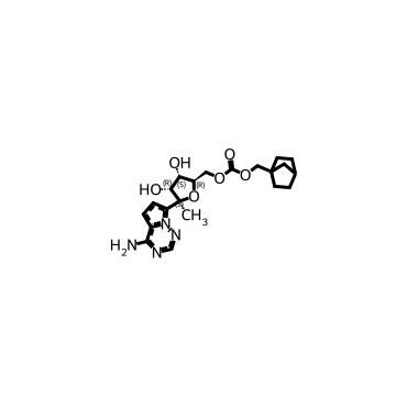 C[C@@]1(c2ccc3c(N)ncnn23)O[C@H](COC(=O)OCC23CCC(CC2)C3)[C@@H](O)[C@H]1O